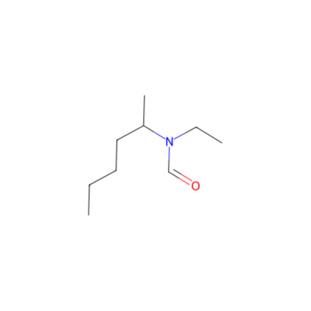 CCCCC(C)N(C=O)CC